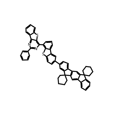 c1ccc(-c2nc(-c3cccc4c3sc3ccc(-c5ccc6c(c5)C5(CCCCC5)c5cc7c(cc5-6)C5(CCCCC5)c5ccccc5-7)cc34)c3sc4ccccc4c3n2)cc1